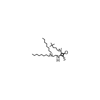 CCCCCCCCN(CCCCCCCC)CCNc1c(N(C)CCCC(C)(C)C)c(=O)c1=S